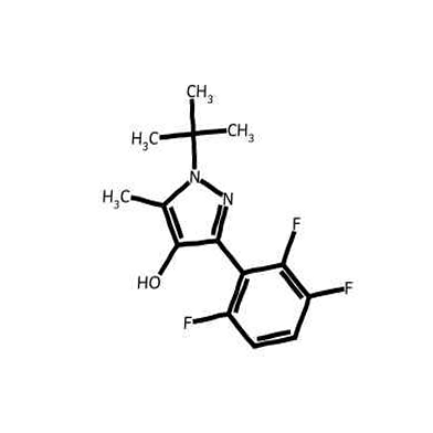 Cc1c(O)c(-c2c(F)ccc(F)c2F)nn1C(C)(C)C